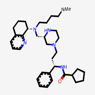 CNCCCCN(C[C@H]1CN(CC[C@H](NC(=O)C2CCCC2)c2ccccc2)CCN1)[C@H]1CCCc2cccnc21